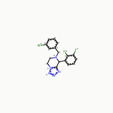 Fc1cccc(C2c3nnnn3CCN2Cc2cccc(Br)c2)c1F